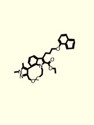 CCOC(=O)c1c(CCCOc2cccc3ccccc23)c2cccc3c2n1CCCOCc1nn(C)c(C)c1-3